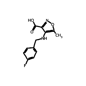 Cc1onc(C(=O)O)c1NCc1ccc(F)cc1